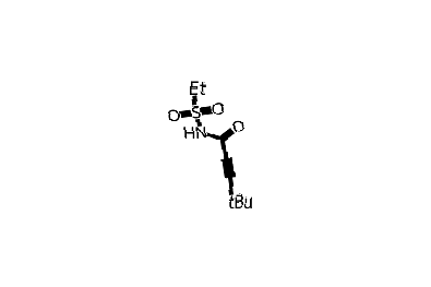 CCS(=O)(=O)NC(=O)C#CC(C)(C)C